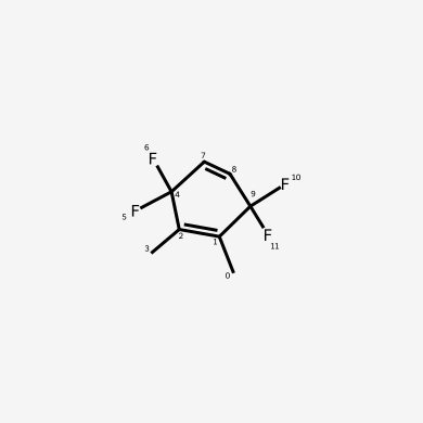 CC1=C(C)C(F)(F)C=CC1(F)F